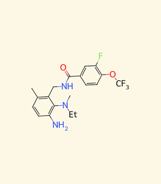 CCN(C)c1c(N)ccc(C)c1CNC(=O)c1ccc(OC(F)(F)F)c(F)c1